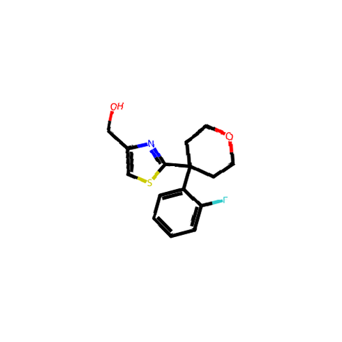 OCc1csc(C2(c3ccccc3F)CCOCC2)n1